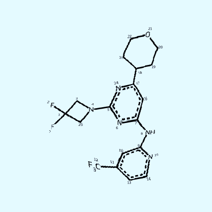 FC1(F)CN(c2nc(Nc3cc(C(F)(F)F)ccn3)cc(C3CCOCC3)n2)C1